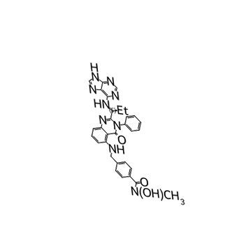 CC[C@H](Nc1ncnc2[nH]cnc12)c1nc2cccc(NCc3ccc(C(=O)N(C)O)cc3)c2c(=O)n1-c1ccccc1